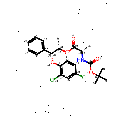 C[C@H](NC(=O)OC(C)(C)C)C(=O)O[C@@H](C)[C@H](Oc1ccc(Cl)cc1Cl)c1ccccc1